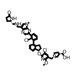 COc1nc(O[C@H]2CCc3c(-c4cccc(-c5cnc6c(CNC[C@@H]7CCC(=O)N7)cn(C)c6n5)c4Cl)cccc32)c(Cl)cc1CN1CC[C@@H](C(=O)O)C1